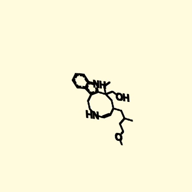 CCC1(CO)CC(CC(C)CCOC)C=CNCCc2c1[nH]c1ccccc21